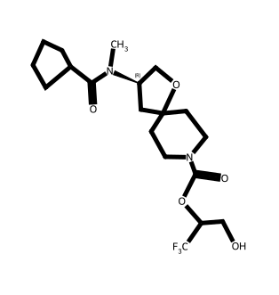 CN(C(=O)C1CCCC1)[C@H]1COC2(CCN(C(=O)OC(CO)C(F)(F)F)CC2)C1